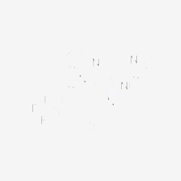 FC(F)(F)OC1=CC=C(n2c3c/c(=N\C4CCOCC4)c(Nc4cccnc4)cc-3nc3ccccc32)CC1